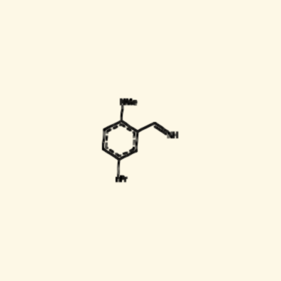 CCCc1ccc(NC)c(C=N)c1